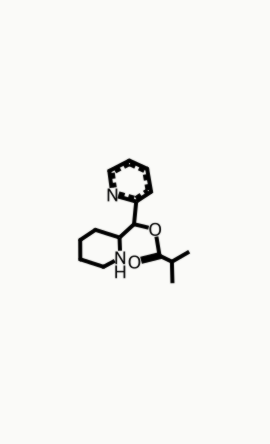 CC(C)C(=O)OC(c1ccccn1)C1CCCCN1